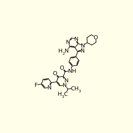 CC(C)n1cc(-c2ccc(F)cn2)c(=O)c(C(=O)Nc2ccc(-c3nn(C4CCOCC4)c4ncnc(N)c34)cc2)n1